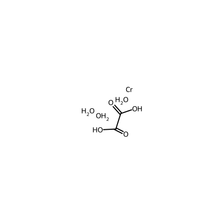 O.O.O.O=C(O)C(=O)O.[Cr]